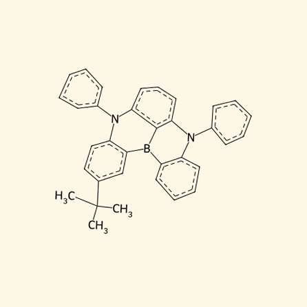 CC(C)(C)c1ccc2c(c1)B1c3ccccc3N(c3ccccc3)c3cccc(c31)N2c1ccccc1